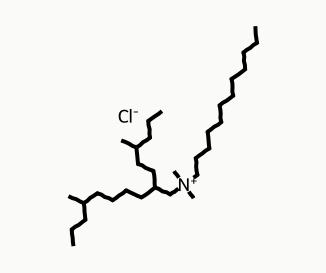 CCCCCCCCCCCC[N+](C)(C)CC(CCCCC(C)CCC)CCC(C)CCC.[Cl-]